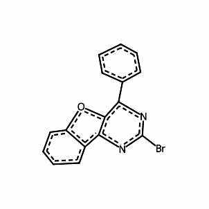 Brc1nc(-c2ccccc2)c2oc3ccccc3c2n1